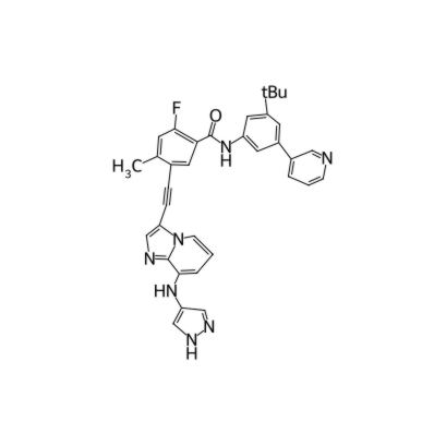 Cc1cc(F)c(C(=O)Nc2cc(-c3cccnc3)cc(C(C)(C)C)c2)cc1C#Cc1cnc2c(Nc3cn[nH]c3)cccn12